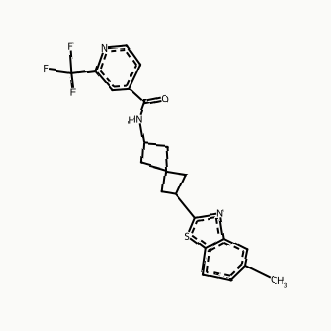 Cc1ccc2sc(C3CC4(CC(NC(=O)c5ccnc(C(F)(F)F)c5)C4)C3)nc2c1